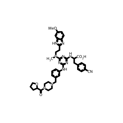 COc1ccc2nc(CCN(C)c3nc(Nc4cccc(CN5CCN(C(=O)C6CCCO6)CC5)c4)nc(NC(Cc4ccc(C#N)cc4)C(=O)O)n3)[nH]c2c1